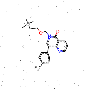 C[Si](C)(C)CCOCn1cc(-c2ccc(C(F)(F)F)cc2)c2ncccc2c1=O